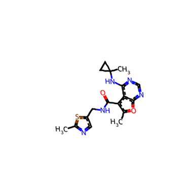 Cc1ncc(CNC(=O)c2c(C)oc3ncnc(NC4(C)CC4)c23)s1